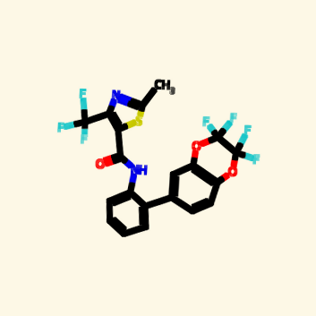 Cc1nc(C(F)(F)F)c(C(=O)Nc2ccccc2-c2ccc3c(c2)OC(F)(F)C(F)(F)O3)s1